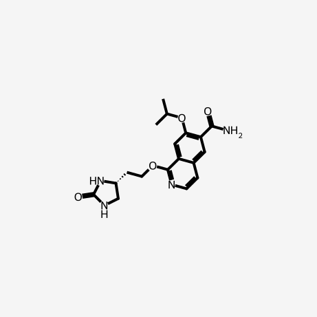 CC(C)Oc1cc2c(OCC[C@@H]3CNC(=O)N3)nccc2cc1C(N)=O